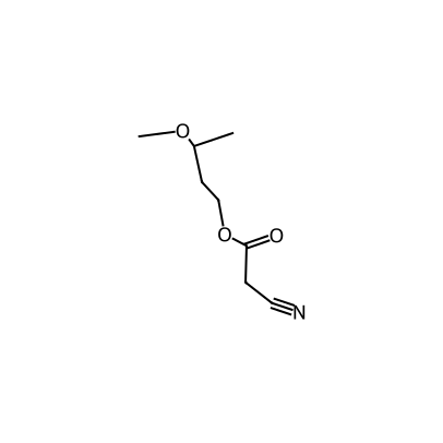 COC(C)CCOC(=O)CC#N